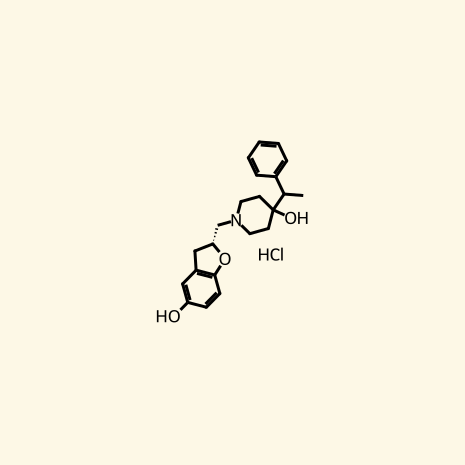 CC(c1ccccc1)C1(O)CCN(C[C@H]2Cc3cc(O)ccc3O2)CC1.Cl